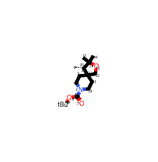 C[C@H]1C2(CCN(C(=O)OC(C)(C)C)CC2)COC1(C)C